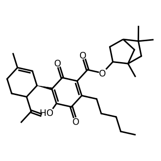 C=C(C)C1CCC(C)=C[C@H]1C1=C(O)C(=O)C(CCCCC)=C(C(=O)OC2CC3CC2(C)CC3(C)C)C1=O